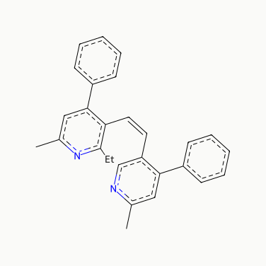 CCc1nc(C)cc(-c2ccccc2)c1/C=C\c1cnc(C)cc1-c1ccccc1